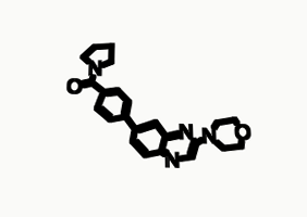 O=C(c1ccc(-c2ccc3ncc(N4CCOCC4)nc3c2)cc1)N1CCCC1